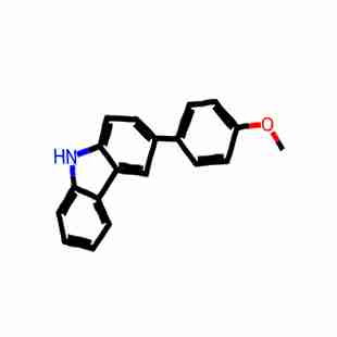 COc1ccc(-c2ccc3[nH]c4ccccc4c3c2)cc1